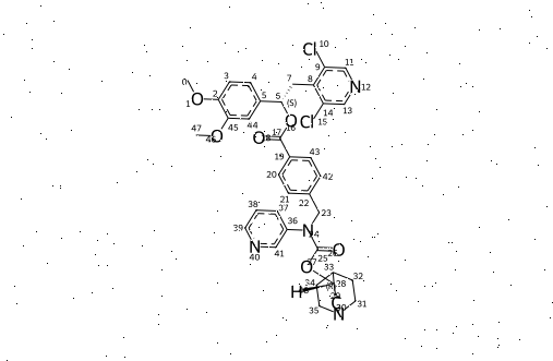 COc1ccc([C@H](Cc2c(Cl)cncc2Cl)OC(=O)c2ccc(CN(C(=O)O[C@H]3CN4CCC3CC4)c3cccnc3)cc2)cc1OC